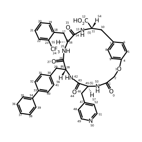 O=C1COc2ccc(cc2)C[C@@H](C(=O)O)NC(=O)[C@H](Cc2ccccc2C(F)(F)F)NC(=O)[C@@H](Cc2ccc(-c3ccccc3)cc2)NC(=O)[C@H](Cc2ccncc2)N1